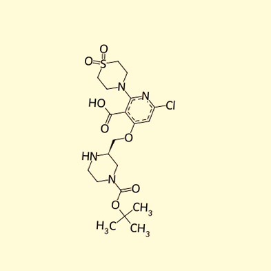 CC(C)(C)OC(=O)N1CCN[C@@H](COc2cc(Cl)nc(N3CCS(=O)(=O)CC3)c2C(=O)O)C1